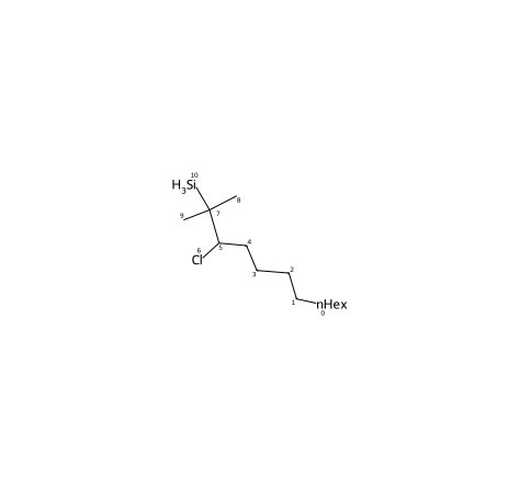 CCCCCCCCCCC(Cl)C(C)(C)[SiH3]